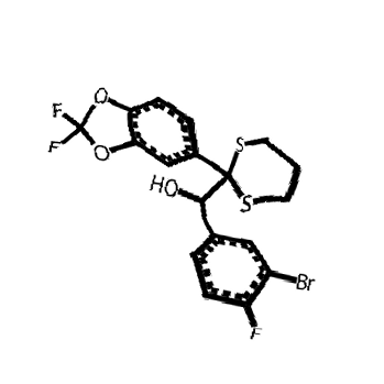 OC(c1ccc(F)c(Br)c1)C1(c2ccc3c(c2)OC(F)(F)O3)SCCCS1